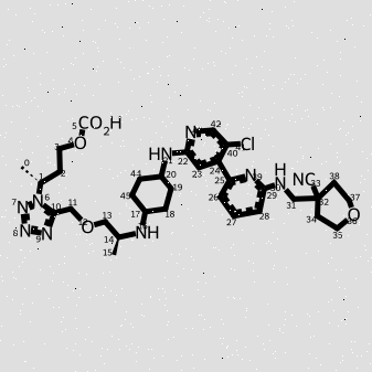 C[C@H](CCOC(=O)O)n1nnnc1COC[C@H](C)NC1CCC(Nc2cc(-c3cccc(NCC4(C#N)CCOCC4)n3)c(Cl)cn2)CC1